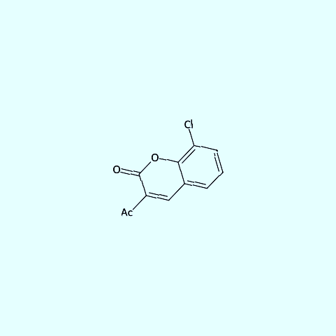 CC(=O)c1cc2cccc(Cl)c2oc1=O